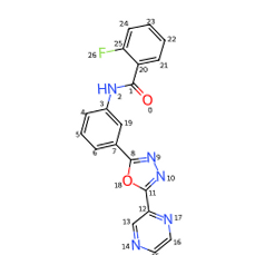 O=C(Nc1cccc(-c2nnc(-c3cnccn3)o2)c1)c1ccccc1F